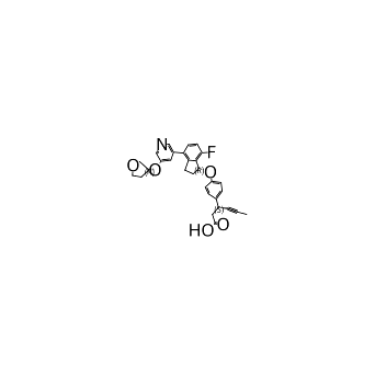 CC#C[C@@H](CC(=O)O)c1ccc(O[C@@H]2CCc3c(-c4cncc(O[C@@H]5CCOC5)c4)ccc(F)c32)cc1